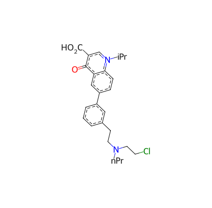 CCCN(CCCl)CCc1cccc(-c2ccc3c(c2)c(=O)c(C(=O)O)cn3C(C)C)c1